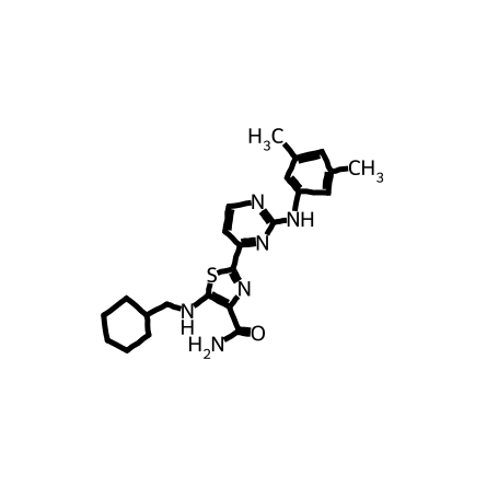 Cc1cc(C)cc(Nc2nccc(-c3nc(C(N)=O)c(NCC4CCCCC4)s3)n2)c1